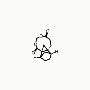 O=C1CC[C@@]23C[C@]2(C(=O)OCO1)[C@H]1CC[C@@H]3CC1